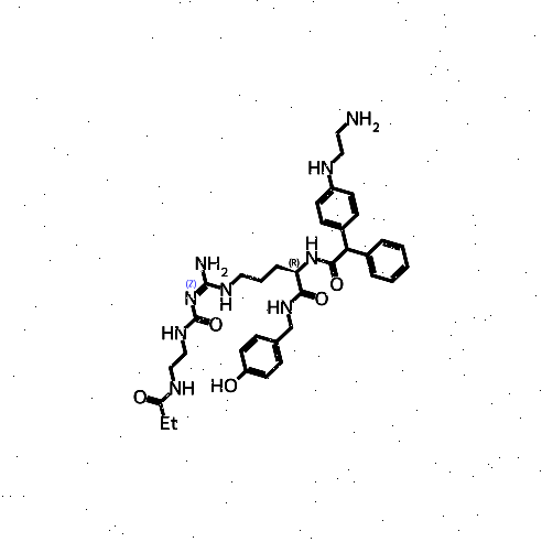 CCC(=O)NCCNC(=O)/N=C(/N)NCCC[C@@H](NC(=O)C(c1ccccc1)c1ccc(NCCN)cc1)C(=O)NCc1ccc(O)cc1